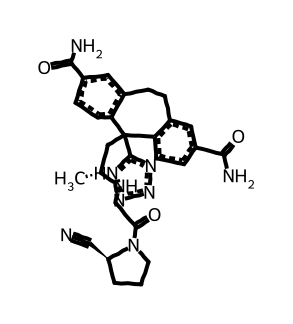 C[C@H](CC1(c2nnn[nH]2)c2ccc(C(N)=O)cc2CCc2cc(C(N)=O)ccc21)NCC(=O)N1CCC[C@H]1C#N